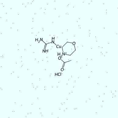 C1COCC[NH2+]1.CC(=O)[O-].Cl.N=C(N)[NH][Cu]